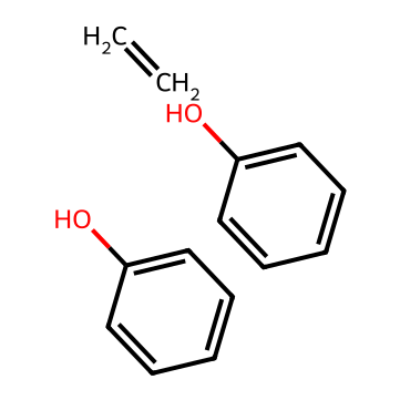 C=C.Oc1ccccc1.Oc1ccccc1